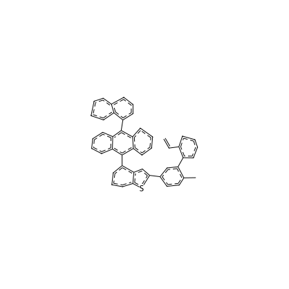 C=Cc1ccccc1-c1cc(-c2cc3c(-c4c5ccccc5c(-c5cccc6ccccc56)c5ccccc45)cccc3s2)ccc1C